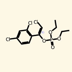 CCOP(=O)(OCC)O/C(=C/Cl)c1ccc(Cl)cc1Cl